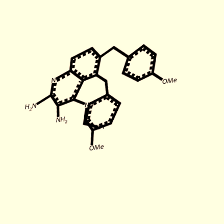 COc1ccc(Cc2ccc3nc(N)c(N)c(NCC(C)C)c3c2Cc2ccc(OC)cc2)cc1